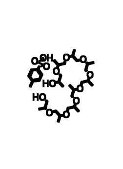 CC(O)COC(C)COC(C)COC(C)COC(C)COC(C)COC(C)COC(C)COC(C)CO.Cc1ccc(S(=O)(=O)O)cc1